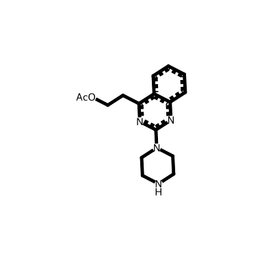 CC(=O)OCCc1nc(N2CCNCC2)nc2ccccc12